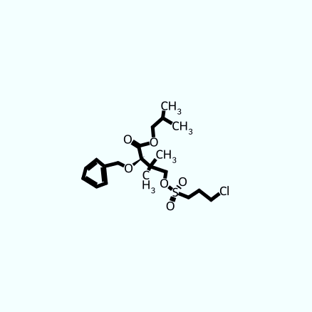 CC(C)COC(=O)[C@H](OCc1ccccc1)C(C)(C)COS(=O)(=O)CCCCl